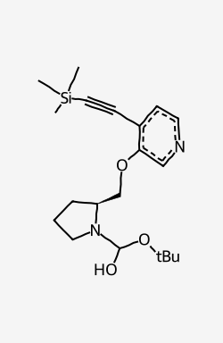 CC(C)(C)OC(O)N1CCC[C@H]1COc1cnccc1C#C[Si](C)(C)C